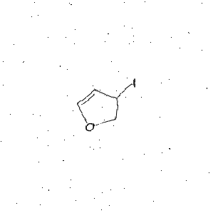 IC1C=COC1